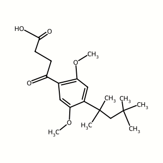 COc1cc(C(C)(C)CC(C)(C)C)c(OC)cc1C(=O)CCC(=O)O